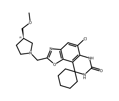 COC[C@@H]1CCN(Cc2nc3cc(Cl)c4c(c3o2)C2(CCCCC2)NC(=O)N4)C1